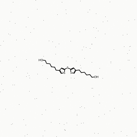 OCCCCCCc1csc(Sc2cc(CCCCCCO)cs2)c1